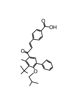 Cc1c(C(=O)C=Cc2ccc(C(=O)O)cc2)cc(-c2ccccc2)c(OCC(C)C)c1C(C)(C)C